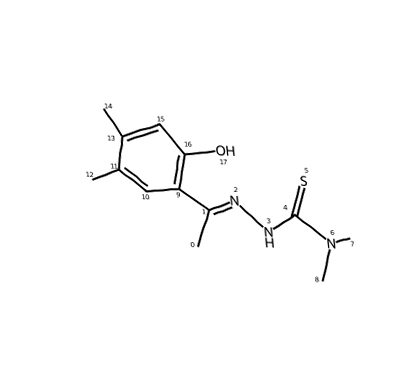 CC(=NNC(=S)N(C)C)c1cc(C)c(C)cc1O